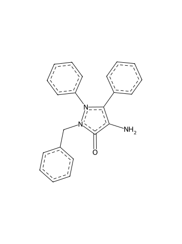 Nc1c(-c2ccccc2)n(-c2ccccc2)n(Cc2ccccc2)c1=O